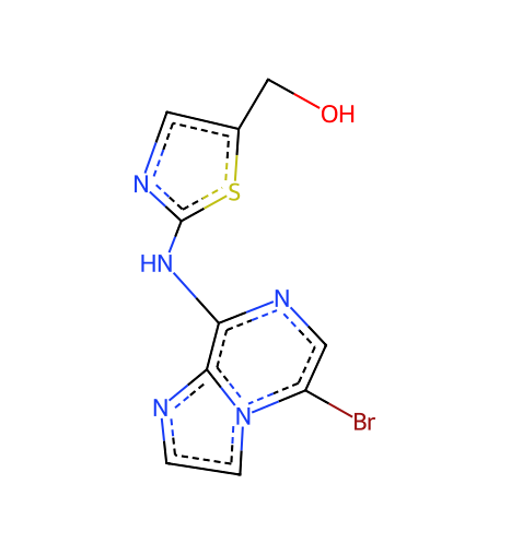 OCc1cnc(Nc2ncc(Br)n3ccnc23)s1